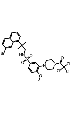 COc1ccc(S(=O)(=O)NCC(C)(C)c2cccc3ccc(Br)cc23)cc1N1CCN(C(=O)C(Cl)(Cl)Cl)CC1